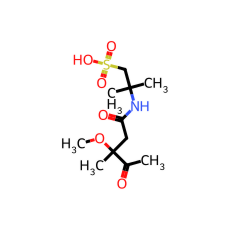 COC(C)(CC(=O)NC(C)(C)CS(=O)(=O)O)C(C)=O